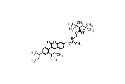 CCC(C)c1ccc(-c2cc3ccc(OOB(C)NCOC(=O)C(CC(C)(C)C)C(C)(C)C)cc3oc2=O)c(C(C)CC)c1